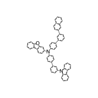 c1cc(-c2ccc(N(c3ccc(-c4cccc(-n5c6ccccc6c6ccccc65)c4)cc3)c3ccc4c(c3)oc3ccccc34)cc2)cc(-c2ccc3ccccc3c2)c1